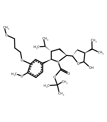 COCCCOc1cc([C@H]2[C@H](C(C)C)C[C@@H]([C@@H]3C[C@@H](C(C)C)C(O)O3)N2C(=O)OC(C)(C)C)ccc1OC